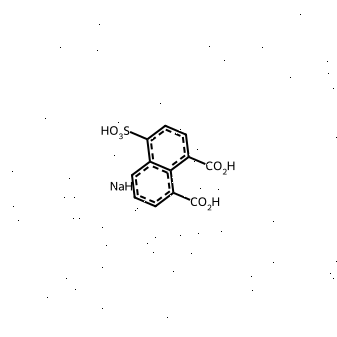 O=C(O)c1cccc2c(S(=O)(=O)O)ccc(C(=O)O)c12.[NaH]